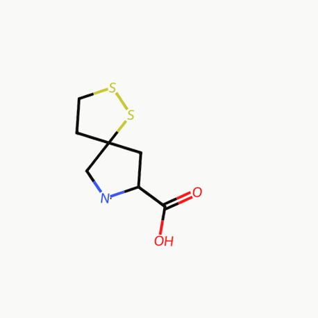 O=C(O)C1CC2(CCSS2)C[N]1